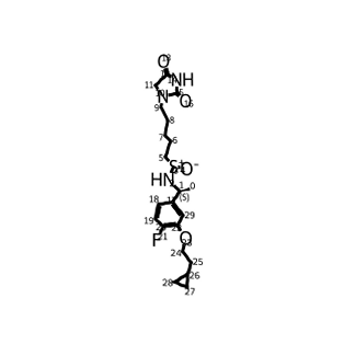 C[C@H](N[S+]([O-])CCCCCN1CC(=O)NC1=O)c1ccc(F)c(OCCC2CC2)c1